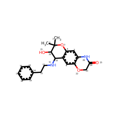 CC1(C)Oc2cc3c(cc2C(NCCc2ccccc2)C1O)OCC(=O)N3